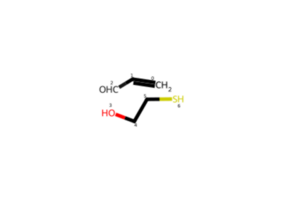 C=CC=O.OCCS